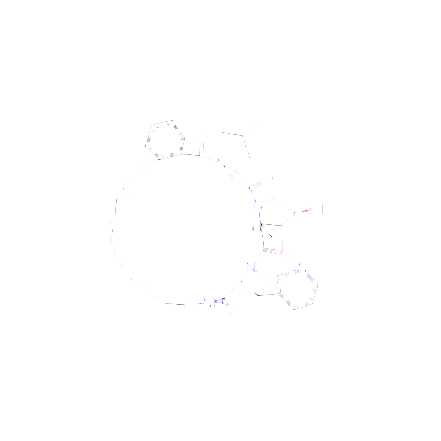 CC(C)C[C@H]1NC(=O)c2ccccc2OCCCCCCCCCNC(=O)[C@H](Cc2cccnc2)N(C)C(=O)[C@H]2C[C@H](O)CN2C1=O